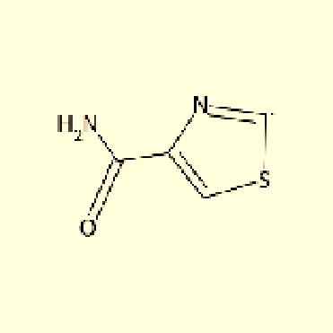 NC(=O)c1cs[c]n1